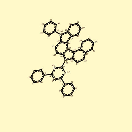 c1ccc(-c2nc(-c3ccccc3)nc(-n3c4ccc5ccccc5c4c4c5c6ccccc6n(-c6ccccc6)c5ccc43)n2)cc1